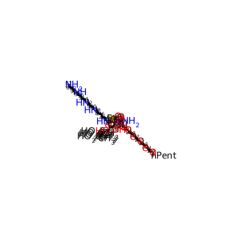 CC(=O)O.CC(=O)O.CC(=O)O.CC(=O)O.CCCCCOCCOCCOCCOCCOCCOC(C(N)=O)N(C(=O)CC)[C@]1(O)[C@H](O)[C@@H](CO)OC(S)(NCCCCCNCCCNCCCCNCCCN)[C@H]1O